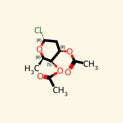 CC(=O)O[C@H]1[C@@H](C)O[C@H](Cl)C[C@H]1OC(C)=O